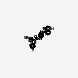 CC(C)(C)c1cc(NC(=O)Nc2ccc(Nc3ncnc4[nH]ccc(=O)c34)cc2)n(-c2ccc(F)cc2)n1